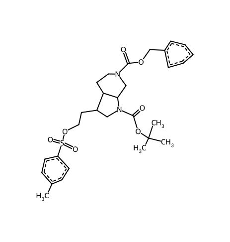 Cc1ccc(S(=O)(=O)OCCC2CN(C(=O)OC(C)(C)C)C3CN(C(=O)OCc4ccccc4)CCC23)cc1